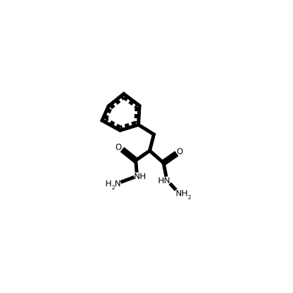 NNC(=O)C(Cc1ccccc1)C(=O)NN